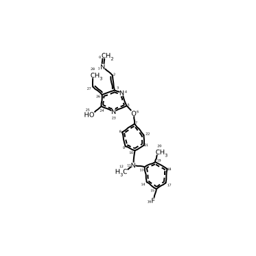 C=N/C=c1/nc(Oc2ccc(N(C)c3cc(F)ccc3C)cc2)nc(O)/c1=C/C